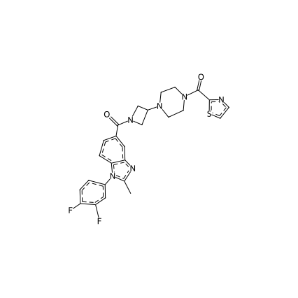 Cc1nc2cc(C(=O)N3CC(N4CCN(C(=O)c5nccs5)CC4)C3)ccc2n1-c1ccc(F)c(F)c1